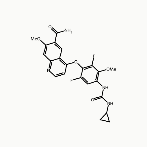 COc1cc2nccc(Oc3c(F)cc(NC(=O)NC4CC4)c(OC)c3F)c2cc1C(N)=O